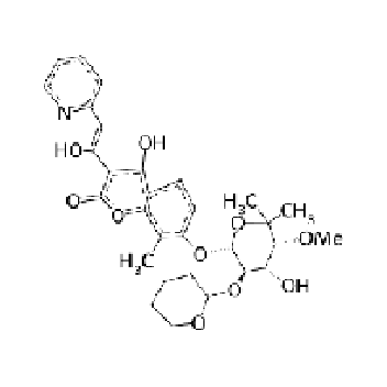 CO[C@@H]1[C@H](O)[C@@H](OC2CCCCO2)[C@H](Oc2ccc3c(O)c(C(O)=Cc4ccccn4)c(=O)oc3c2C)OC1(C)C